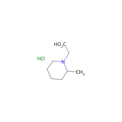 CC1CCCCN1CC(=O)O.Cl